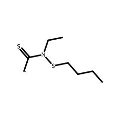 [CH2]C(=S)N(CC)SCCCC